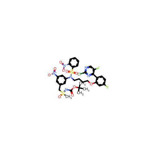 CC(C)(C)OC(=O)N=S(C)(=O)Cc1cc(N(CCCCOc2cc(F)ccc2-c2nc(Cl)ncc2F)S(=O)(=O)c2ccccc2[N+](=O)[O-])cc([N+](=O)[O-])c1